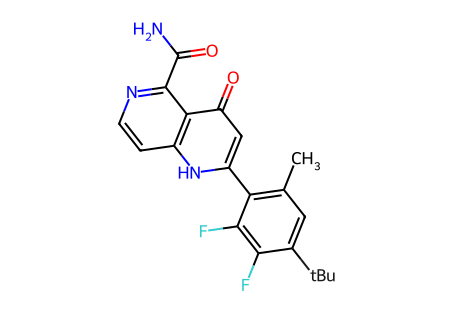 Cc1cc(C(C)(C)C)c(F)c(F)c1-c1cc(=O)c2c(C(N)=O)nccc2[nH]1